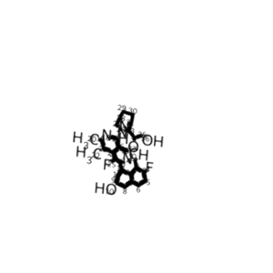 C#Cc1c(F)ccc2cc(O)cc(-c3nc4c5c(nc(C)c(C)c5c3F)N3CC5CCC(N5)C3C(CO)O4)c12